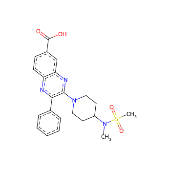 CN(C1CCN(c2nc3cc(C(=O)O)ccc3nc2-c2ccccc2)CC1)S(C)(=O)=O